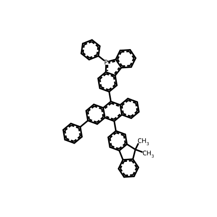 CC1(C)c2ccccc2-c2ccc(-c3c4ccccc4c(-c4ccc5c(c4)c4ccccc4p5-c4ccccc4)c4ccc(-c5ccccc5)cc34)cc21